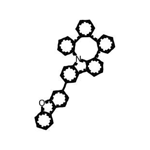 c1ccc2c(c1)oc1cc(-c3ccc4c(c3)c3cccc5c6ccccc6c6ccccc6c6ccccc6n4c53)ccc12